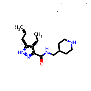 C=C/C=c1/[nH]nc(C(=O)NCC2CCNCC2)/c1=C/C